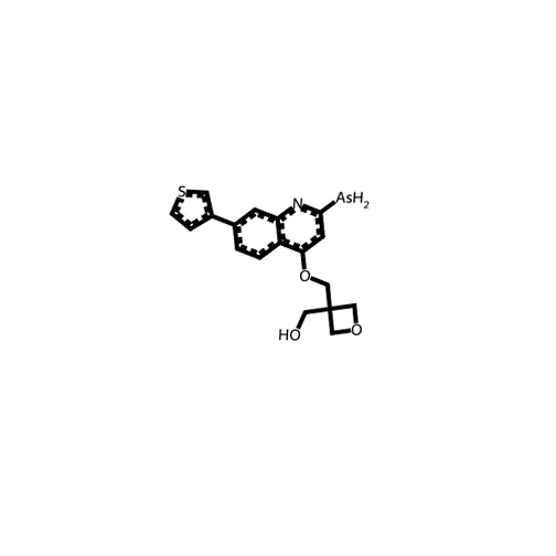 OCC1(COc2cc([AsH2])nc3cc(-c4ccsc4)ccc23)COC1